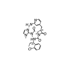 CC[C@@H](NC(=O)N1C(=O)[C@H](Cc2ccnc(N)c2)[C@H]1C(=O)N(C)c1nccn1C)c1ccccc1Cl